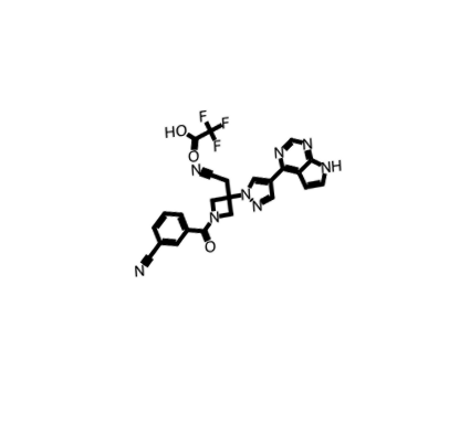 N#CCC1(n2cc(-c3ncnc4[nH]ccc34)cn2)CN(C(=O)c2cccc(C#N)c2)C1.O=C(O)C(F)(F)F